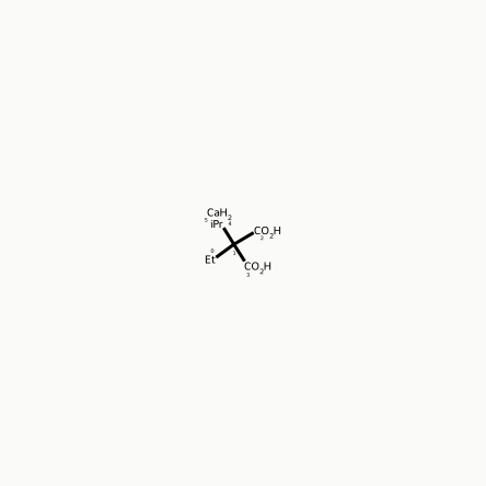 CCC(C(=O)O)(C(=O)O)C(C)C.[CaH2]